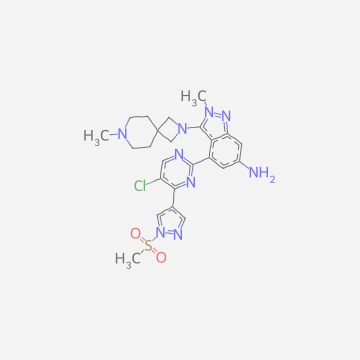 CN1CCC2(CC1)CN(c1c3c(-c4ncc(Cl)c(-c5cnn(S(C)(=O)=O)c5)n4)cc(N)cc3nn1C)C2